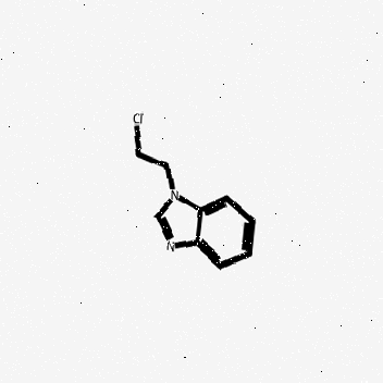 ClCCn1[c]nc2ccccc21